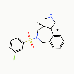 O=S(=O)(c1cccc(F)c1)N1Cc2ccccc2[C@@H]2CNC[C@H]2C1